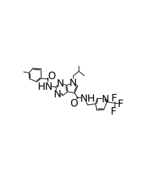 Cc1ccc(C(=O)Nc2ncc3c(C(=O)NCc4ccc(C(F)(F)F)nc4)cn(CC(C)C)c3n2)cc1